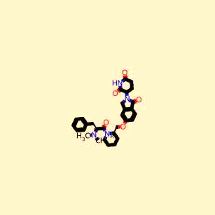 CN(C)[C@@H](Cc1ccccc1)C(=O)N1CCCC[C@@H]1COc1ccc2c(c1)CN(C1CCC(=O)NC1=O)C2=O